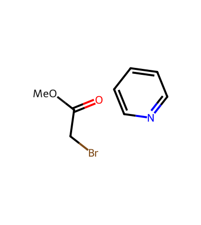 COC(=O)CBr.c1ccncc1